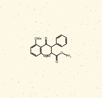 COc1cccc(OC)c1C(=O)C(c1ccccc1)C(C)C(=O)OP